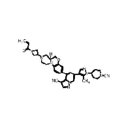 C=CC(=O)N1CC(N2CCN3c4ccc(-c5cc(-c6cnn(C7CCN(C#N)CC7)c6C)cn6ncc(C#N)c56)cc4OC[C@H]3C2)C1